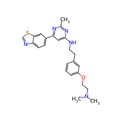 Cc1nc(NCCc2cccc(OCCN(C)C)c2)cc(-c2ccc3ncsc3c2)n1